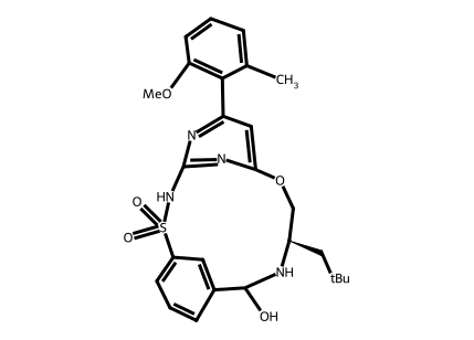 COc1cccc(C)c1-c1cc2nc(n1)NS(=O)(=O)c1cccc(c1)C(O)N[C@H](CC(C)(C)C)CO2